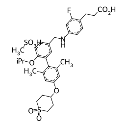 CS(=O)(=O)O.Cc1cc(OC2CCS(=O)(=O)CC2)cc(C)c1-c1cc(CNc2ccc(CCC(=O)O)c(F)c2)ccc1OC(C)C